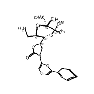 CO[C@@]1(C)O[C@H]([C@H]2CN(C3=COC=C(C4=CC=CCC4)O3)C(=O)O2)[C@@H](CN)O[C@]1(C)OC